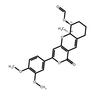 COc1ccc(-c2cc3c(c(=O)o2)C=C2CCC[C@H](OC=O)[C@]2(C)O3)cc1OC